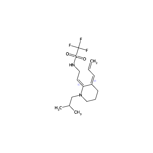 C=C/C=C1/CCCN(CC(C)C)/C1=C/CNS(=O)(=O)C(F)(F)F